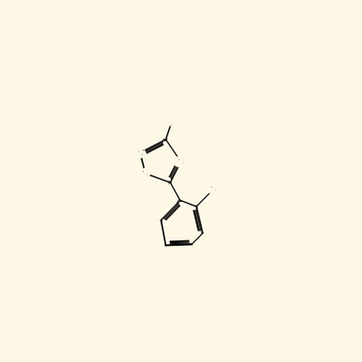 CCc1n[nH]c(-c2ccccc2[N+](=O)[O-])n1